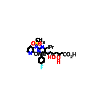 COc1ncccc1N(c1nc(-c2ccc(F)cc2)c(/C=C/[C@@H](O)C[C@@H](O)CC(=O)O)c(C(C)C)n1)S(C)(=O)=O